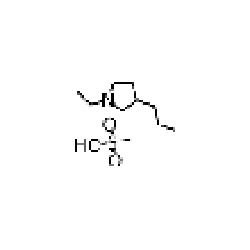 CCCC1CCN(CC)C1.CS(=O)(=O)O